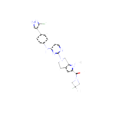 Cn1c(C(=O)N2CC(C)(F)C2)cc2c1CN(c1nccc(Nc3ccc(-c4c[nH]nc4F)cc3)n1)CC2